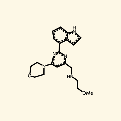 COCCNCc1cc(N2CCOCC2)nc(-c2cccc3[nH]ccc23)n1